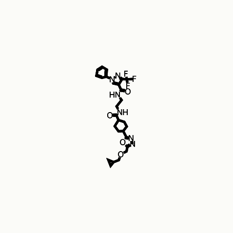 O=C(NCCNC(=O)C1CCC(c2nnc(COCC3CC3)o2)CC1)c1cn(-c2ccccc2)nc1C(F)(F)F